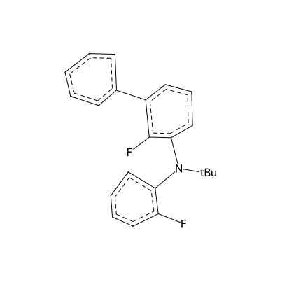 CC(C)(C)N(c1ccccc1F)c1cccc(-c2ccccc2)c1F